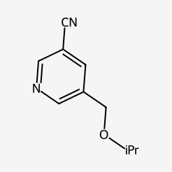 CC(C)OCc1cncc(C#N)c1